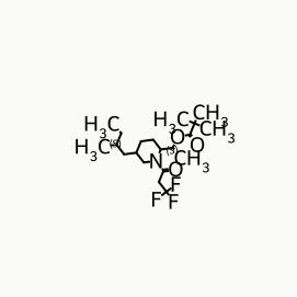 CC[C@H](C)CC1CCC([C@H](C)OC(=O)C(C)(C)C)N(C(=O)CC(F)(F)F)C1